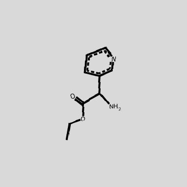 CCOC(=O)C(N)c1cccnc1